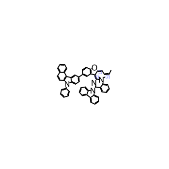 C\C=C/C=c1/oc2ccc(-c3ccc4c(c3)c3c5ccccc5ccc3n4-c3ccccc3)cc2/c1=C1\N=C(n2c3ccccc3c3ccccc32)c2ccccc2N1C